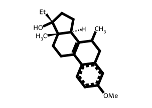 CC[C@@]1(O)CC[C@H]2C3=C(CC[C@@]21C)c1ccc(OC)cc1CC3C